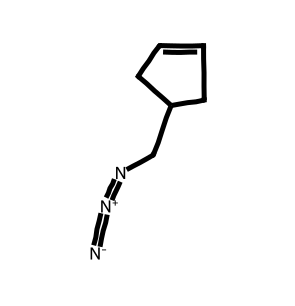 [N-]=[N+]=NCC1CC=CC1